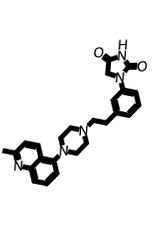 Cc1ccc2c(N3CCN(CCc4cccc(N5CC(=O)NC5=O)c4)CC3)cccc2n1